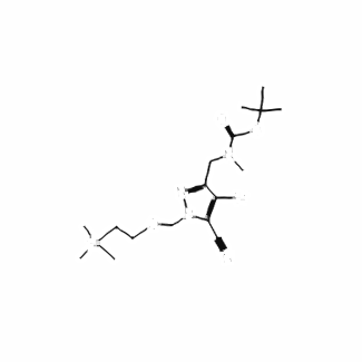 CN(Cc1nn(COCC[Si](C)(C)C)c(C#N)c1Br)C(=O)OC(C)(C)C